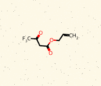 C=CCOC(=O)CC(=O)C(F)(F)F